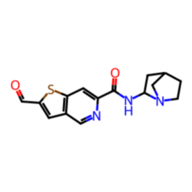 O=Cc1cc2cnc(C(=O)NC3CC4CCN3C4)cc2s1